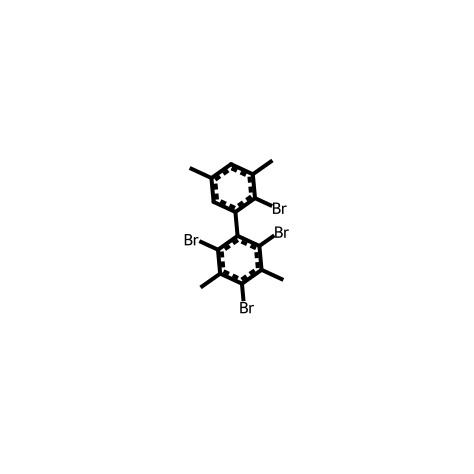 Cc1cc(C)c(Br)c(-c2c(Br)c(C)c(Br)c(C)c2Br)c1